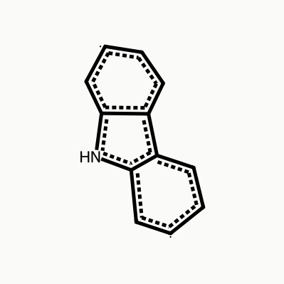 [c]1ccc2c(c1)[nH]c1c[c]ccc12